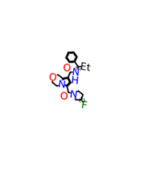 CC[C@@H](NC(=O)c1cc(C(=O)N2CC[C@H](F)C2)n2c1COCC2)c1ccccc1